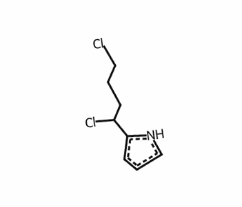 ClCCCC(Cl)c1ccc[nH]1